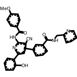 COc1ccc(C(=O)Nc2nc(-c3ccccc3O)cc(-c3cccc(C(=O)NCc4ccccn4)c3)c2C#N)cc1